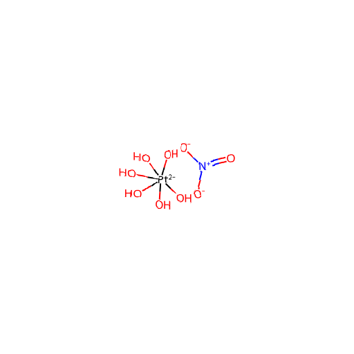 O=[N+]([O-])[O-].[OH][Pt-2]([OH])([OH])([OH])([OH])[OH]